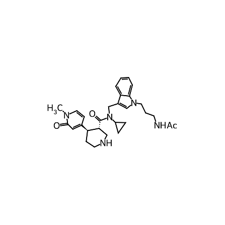 CC(=O)NCCCn1cc(CN(C(=O)[C@@H]2CNCC[C@H]2c2ccn(C)c(=O)c2)C2CC2)c2ccccc21